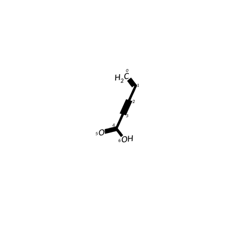 C=CC#CC(=O)O